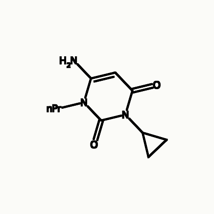 CCCn1c(N)cc(=O)n(C2CC2)c1=O